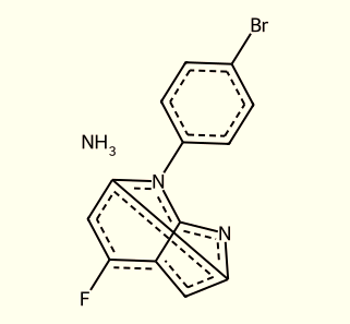 Fc1cc2c3cc1-c(n3)n2-c1ccc(Br)cc1.N